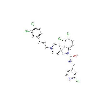 O=C(NCc1ccnc(Cl)c1)N1CC2(CCN(CC=Cc3ccc(Cl)c(Cl)c3)CC2)c2c1ccc(Cl)c2Cl